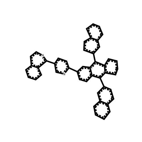 c1ccc2cc(-c3c4ccccc4c(-c4ccc5ccccc5c4)c4cc(-c5ccc(-c6nccc7ccccc67)cn5)ccc34)ccc2c1